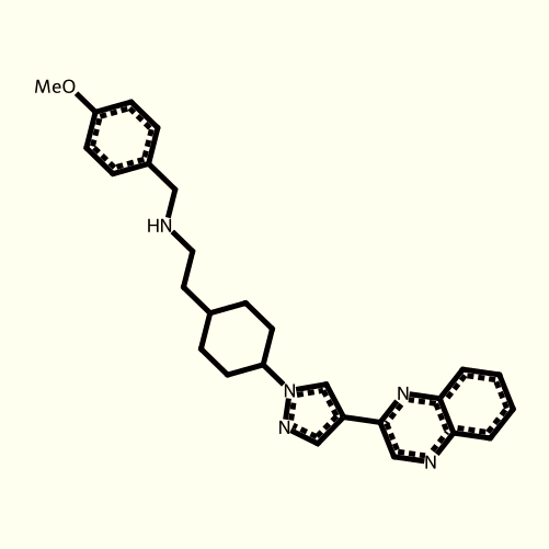 COc1ccc(CNCCC2CCC(n3cc(-c4cnc5ccccc5n4)cn3)CC2)cc1